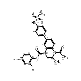 CC(=O)N1c2ccc(-c3ccc(NS(C)(=O)=O)cc3)cc2N(C(=O)Oc2ccc(F)cc2F)CC1C